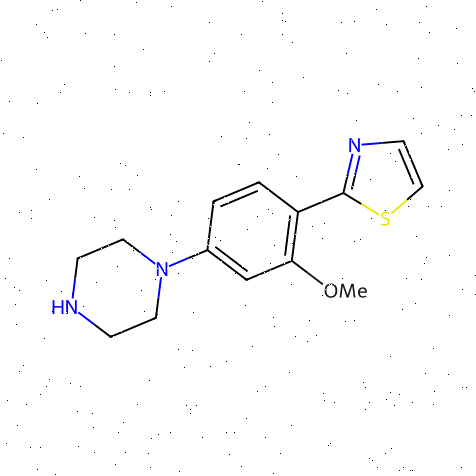 COc1cc(N2CCNCC2)ccc1-c1nccs1